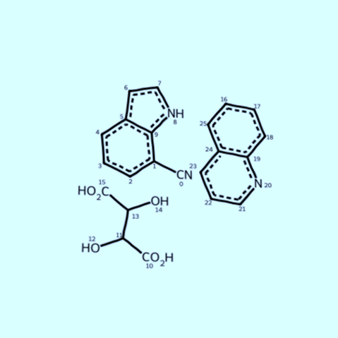 N#Cc1cccc2cc[nH]c12.O=C(O)C(O)C(O)C(=O)O.c1ccc2ncccc2c1